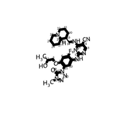 C[C@@H](O)COc1cc(F)c(Nc2ncc(C#N)c(NC[C@@H]3CCCN4CCCC[C@H]34)n2)cc1-n1nnn(C)c1=O